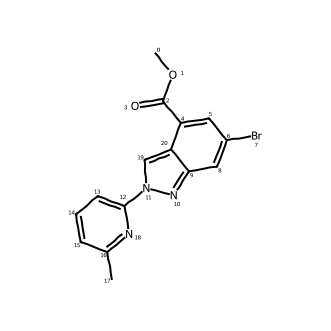 COC(=O)c1cc(Br)cc2nn(-c3cccc(C)n3)cc12